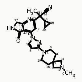 CN1CC2(CCN(c3ccn(-c4cc(C(C)(C#N)C5CC5)nc5c4C(=O)NC5)n3)CC2)C1